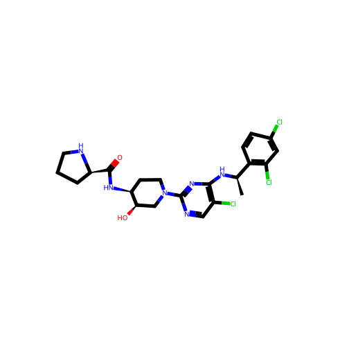 C[C@@H](Nc1nc(N2CC[C@H](NC(=O)[C@H]3CCCN3)[C@H](O)C2)ncc1Cl)c1ccc(Cl)cc1Cl